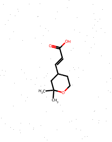 CC1(C)CC(/C=C/C(=O)O)CCO1